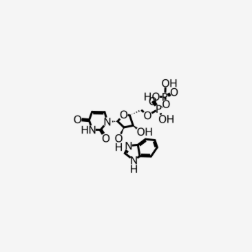 O=c1ccn([C@@H]2O[C@H](COP(=O)(O)OP(=O)(O)O)[C@@H](O)[C@H]2O)c(=O)[nH]1.c1ccc2[nH]cnc2c1